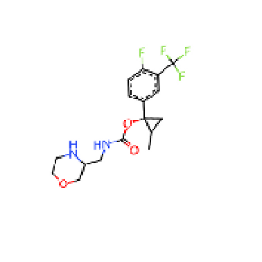 CC1C[C@@]1(OC(=O)NCC1COCCN1)c1ccc(F)c(C(F)(F)F)c1